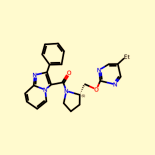 CCc1cnc(OC[C@@H]2CCCN2C(=O)c2c(-c3ccccc3)nc3ccccn23)nc1